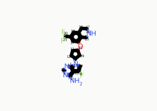 Nc1ncnc2c1c(F)cn2[C@H]1CCC(Oc2cc(C(F)F)cc3c2CNCC3)C1